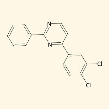 Clc1ccc(-c2ccnc(-c3ccccc3)n2)cc1Cl